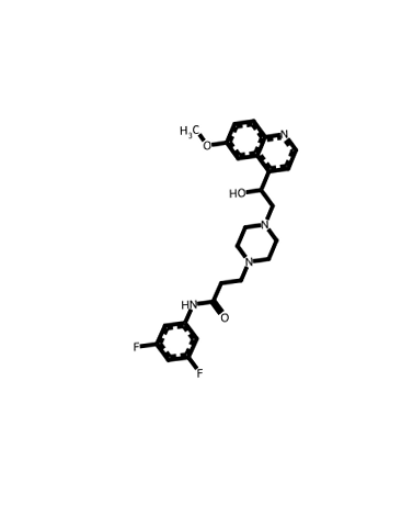 COc1ccc2nccc(C(O)CN3CCN(CCC(=O)Nc4cc(F)cc(F)c4)CC3)c2c1